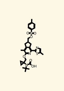 Cc1ccc(S(=O)(=O)OCC2Cc3c(-c4ncc(C)s4)nc(OCC4(N(C(=O)O)C(C)(C)C)CC4)c(C)c3C2)cc1